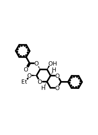 CCO[C@@H]1O[C@@H]2COC(c3ccccc3)O[C@@H]2[C@H](O)[C@H]1OC(=O)c1ccccc1